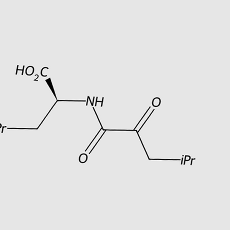 CC(C)CC(=O)C(=O)N[C@@H](CC(C)C)C(=O)O